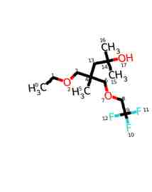 CCOCC(C)(COCC(F)(F)F)CC(C)(C)O